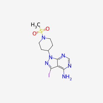 CS(=O)(=O)N1CCC(n2nc(I)c3c(N)ncnc32)CC1